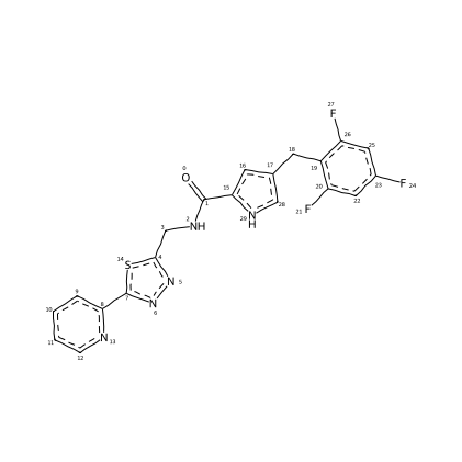 O=C(NCc1nnc(-c2ccccn2)s1)c1cc(Cc2c(F)cc(F)cc2F)c[nH]1